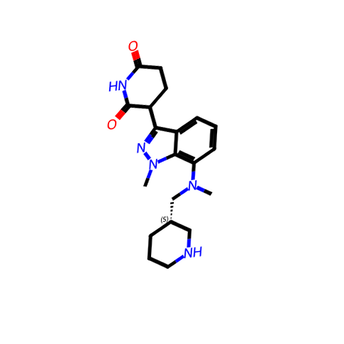 CN(C[C@H]1CCCNC1)c1cccc2c(C3CCC(=O)NC3=O)nn(C)c12